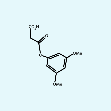 COc1cc(OC)cc(OC(=O)CC(=O)O)c1